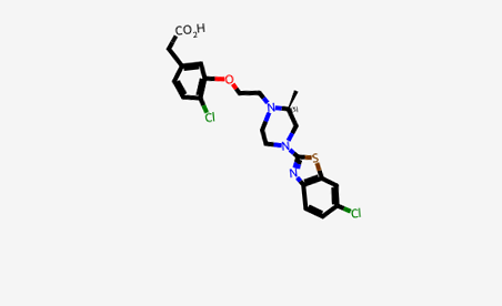 C[C@H]1CN(c2nc3ccc(Cl)cc3s2)CCN1CCOc1cc(CC(=O)O)ccc1Cl